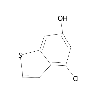 Oc1cc(Cl)c2ccsc2c1